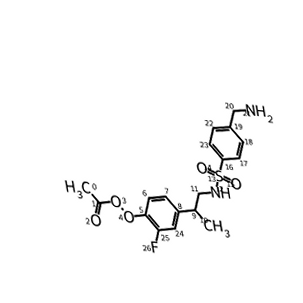 CC(=O)OOc1ccc(C(C)CNS(=O)(=O)c2ccc(CN)cc2)cc1F